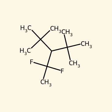 CC(C)(C)C(C(C)(C)C)C(C)(F)F